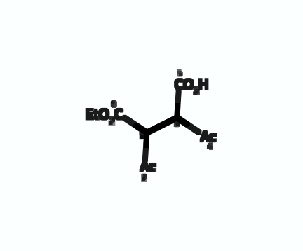 CCOC(=O)C(C(C)=O)C(C(C)=O)C(=O)O